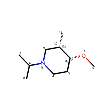 CO[C@@H]1CCN(C(C)C)C[C@@H]1C